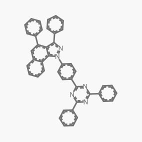 c1ccc(-c2nc(-c3ccccc3)nc(-c3ccc(-n4nc(-c5ccccc5)c5c(-c6ccccc6)cc6ccccc6c54)cc3)n2)cc1